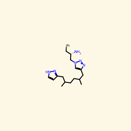 CC(C)C[C@H](N)Cn1cc(CC(C)CCC(C)Cc2cc[nH]n2)nn1